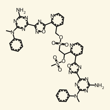 CN(c1ccccc1)c1nc(N)nc(-c2noc(-c3cccnc3C(CS(=O)(=O)OCc3cccnc3-c3nc(-c4nc(N)nc(N(C)c5ccccc5)n4)no3)OS(C)(=O)=O)n2)n1